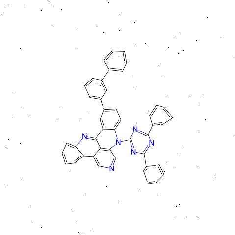 c1ccc(-c2cccc(-c3ccc4c(c3)-c3nc5ccccc5c5cncc(c35)N4c3nc(-c4ccccc4)nc(-c4ccccc4)n3)c2)cc1